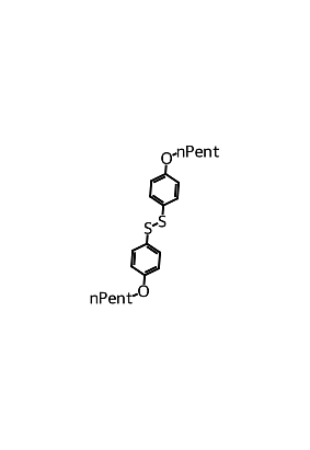 CCCCCOc1ccc(SSc2ccc(OCCCCC)cc2)cc1